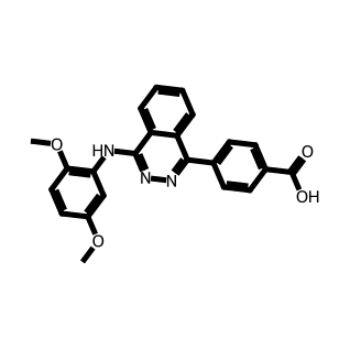 COc1ccc(OC)c(Nc2nnc(-c3ccc(C(=O)O)cc3)c3ccccc23)c1